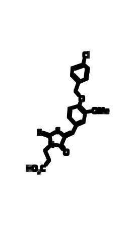 COc1cc(/C=C2\SC(=S)N(CCC(=O)O)C2=O)ccc1OCc1ccc(Cl)cc1